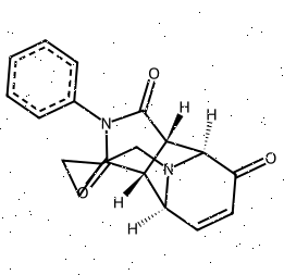 O=C1C=C[C@H]2[C@@H]3C(=O)N(c4ccccc4)C(=O)[C@@H]3[C@@H]1N2CC1CC1